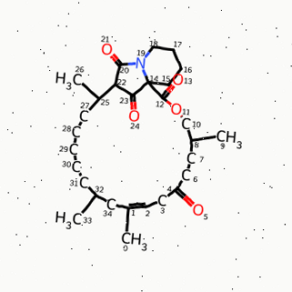 CC1=CCC(=O)CCC(C)COC(=O)C23CCCCN2C(=O)C(C3=O)C(C)CCCCCC(C)C1